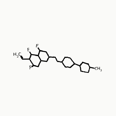 C=CC1C(F)CC2CC(CCC3CCC(C4CCC(C)CC4)CC3)CC(F)C2C1F